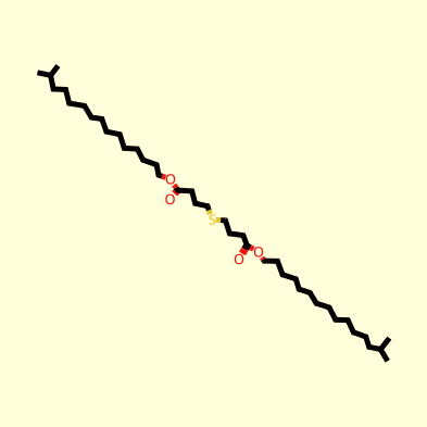 CC(C)CCCCCCCCCCCCCOC(=O)CCCSCCCC(=O)OCCCCCCCCCCCCCC(C)C